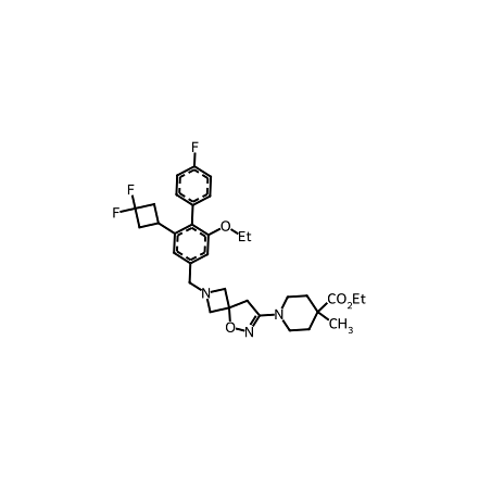 CCOC(=O)C1(C)CCN(C2=NOC3(C2)CN(Cc2cc(OCC)c(-c4ccc(F)cc4)c(C4CC(F)(F)C4)c2)C3)CC1